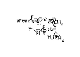 C=C(C)C(=O)OCCCC(CCOCC(=C)C(=O)OCC(CO)Cc1ccc(C2CCC(c3ccc(-c4c(F)cc(CCCCC)cc4F)cc3CC)CC2)cc1)C1CCC(C2CCC(c3c(F)cc(-c4ccc(CCCCF)c(F)c4F)cc3F)CC2)CC1